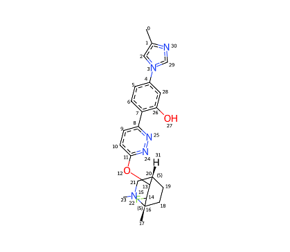 Cc1cn(-c2ccc(-c3ccc(OC4C(F)[C@]5(C)CC[C@H]4CN5C)nn3)c(O)c2)cn1